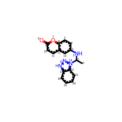 CC(Nc1ccc2oc(=O)ccc2c1)n1nnc2ccccc21